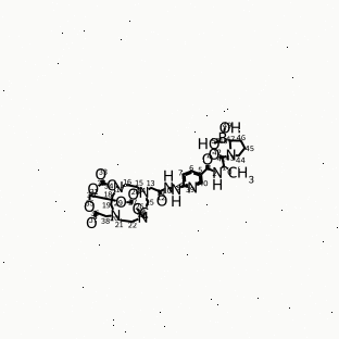 C[C@@H](NC(=O)c1ccc(NNC(=O)CN2CCN3CCN4CCN(CC2)CC(=O)OC(OC(=O)C3)OC(=O)C4)nc1)C(=O)N1CCC[C@H]1B(O)O